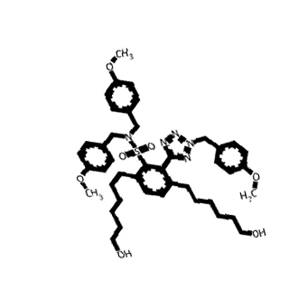 COc1ccc(CN(Cc2ccc(OC)cc2)S(=O)(=O)c2c(CCCCCCO)ccc(CCCCCCO)c2-c2nnn(Cc3ccc(OC)cc3)n2)cc1